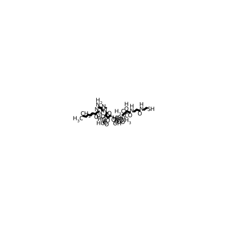 C=C(C)CCC=CC(=O)c1nc(N)c2ncn([C@@H]3O[C@H](COP(=O)(O)OP(=O)(O)OCC(C)(C)[C@@H](O)C(=O)NCCC(=O)NCCS)[C@@H](OP(=O)(O)O)[C@H]3O)c2n1